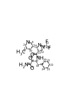 Cc1cncc(-c2nn(C(F)F)cc2C(=O)NC(Cc2ccccc2)C(=O)C(N)=O)c1